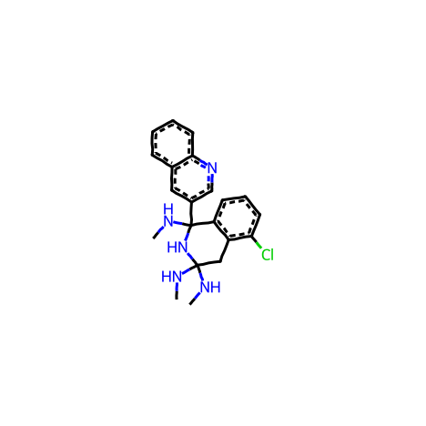 CNC1(NC)Cc2c(Cl)cccc2C(NC)(c2cnc3ccccc3c2)N1